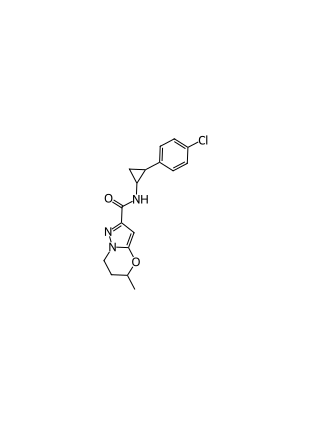 CC1CCn2nc(C(=O)NC3CC3c3ccc(Cl)cc3)cc2O1